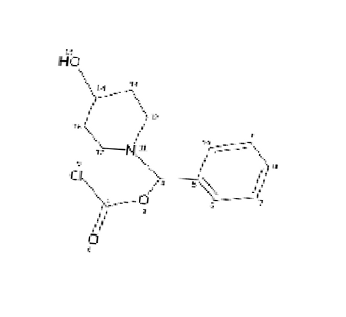 O=C(Cl)OC(c1ccccc1)N1CCC(O)CC1